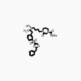 CCCN(CCCCN1CCCN(C(=O)NC)CC1=O)C(C)Cc1cccc(S(=O)(=O)C2=COC(Cc3ccccc3)O2)c1